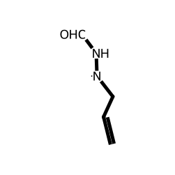 C=CC[N]NC=O